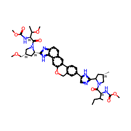 CCC(C)[C@H](NC(=O)OC)C(=O)N1C[C@@H](C)CC1c1ncc(-c2ccc3c(c2)COc2cc4c(ccc5nc([C@@H]6C[C@H](COC)CN6C(=O)[C@@H](NC(=O)OC)C(C)OC)[nH]c54)cc2-3)[nH]1